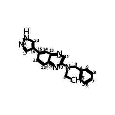 CCN(Cc1ccccc1)c1cnc2cc(-c3cn[nH]c3)ccc2n1